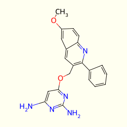 COc1ccc2nc(-c3ccccc3)c(COc3cc(N)nc(N)n3)cc2c1